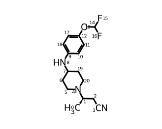 C[C@H](CC#N)N1CCC(Nc2ccc(OC(F)F)cc2)CC1